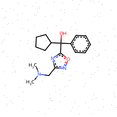 CN(C)Cc1noc(C(O)(c2ccccc2)C2CCCC2)n1